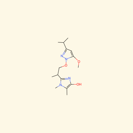 COc1cc(C(C)C)nn1OCC(C)c1nc(O)c(C)n1C